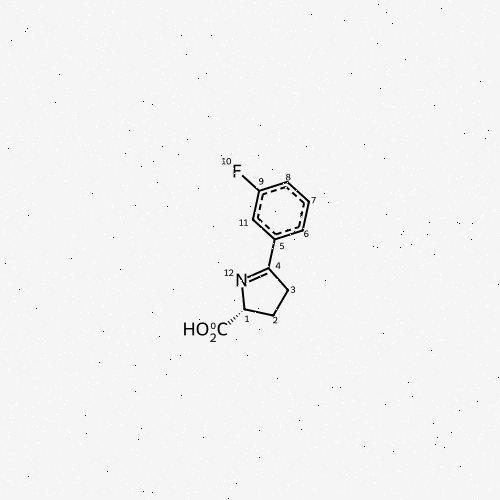 O=C(O)[C@H]1CCC(c2cccc(F)c2)=N1